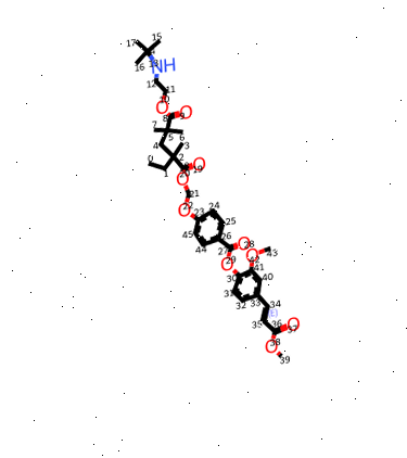 CCC(C)(CC(C)(C)C(=O)OCCNC(C)(C)C)C(=O)OCOc1ccc(C(=O)Oc2ccc(/C=C/C(=O)OC)cc2OC)cc1